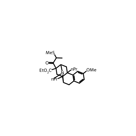 CCCC12CC3N(C)C(Cc4ccc(OC)cc41)C2(CCC)CC3(C(=O)OCC)C(=O)C(C)SC